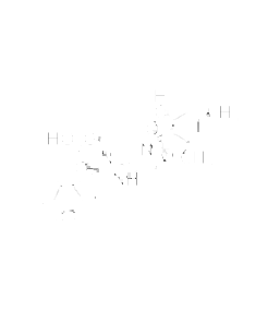 Cc1cc(C)c(S(=O)(=O)N2CCC3(CC2)NC(Cc2ccccc2)C(=O)N3CC(=O)O)c(C)c1